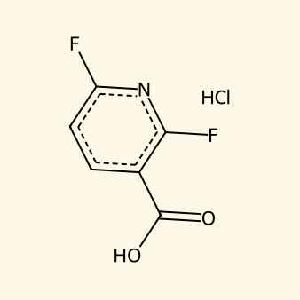 Cl.O=C(O)c1ccc(F)nc1F